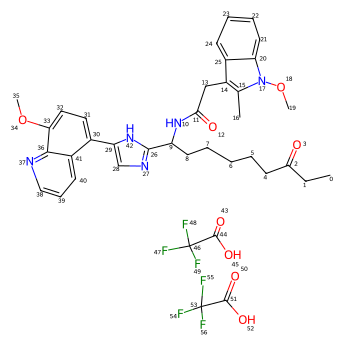 CCC(=O)CCCCCC(NC(=O)Cc1c(C)n(OC)c2ccccc12)c1ncc(-c2ccc(OC)c3ncccc23)[nH]1.O=C(O)C(F)(F)F.O=C(O)C(F)(F)F